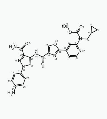 CC(C)(C)OC(=O)N(CC1CC1)c1cc(-c2nc(C(=O)Nc3cn(-c4ccc(N)cc4)nc3C(N)=O)co2)ccn1